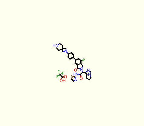 O=C(Nc1nccs1)C(c1ncn2c1CCC2)N1Cc2c(F)cc(-c3ccc(N4CC5(CCNCC5)C4)cc3)cc2C1=O.O=C(O)C(F)(F)F